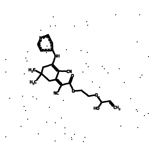 C=CC(O)OCCOC(=O)/C(C#N)=C1/CC(C)(C)CC(Nc2ccncc2)=C1C#N